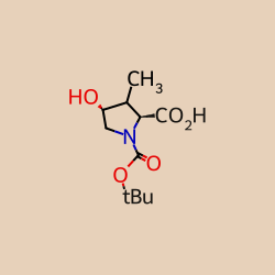 CC1[C@H](O)CN(C(=O)OC(C)(C)C)[C@@H]1C(=O)O